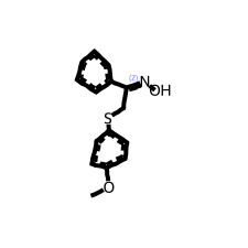 COc1ccc(SC/C(=N\O)c2ccccc2)cc1